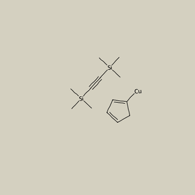 C[Si](C)(C)C#C[Si](C)(C)C.[Cu][C]1=CC=CC1